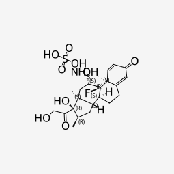 C[C@@H]1C[C@H]2[C@@H]3CCC4=CC(=O)C=C[C@]4(C)[C@@]3(F)[C@@H](O)C[C@]2(C)[C@@]1(O)C(=O)CO.N.O=S(=O)(O)O